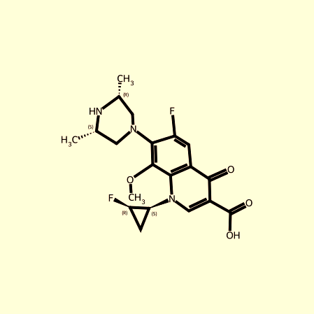 COc1c(N2C[C@@H](C)N[C@@H](C)C2)c(F)cc2c(=O)c(C(=O)O)cn([C@H]3C[C@H]3F)c12